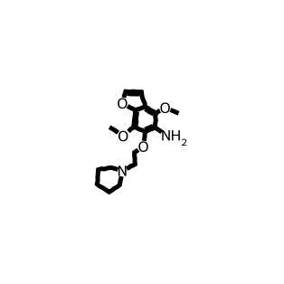 COc1c(N)c(OCCN2CCCCC2)c(OC)c2occc12